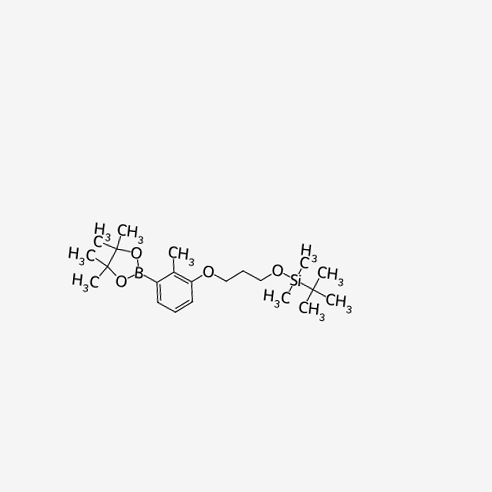 Cc1c(OCCCO[Si](C)(C)C(C)(C)C)cccc1B1OC(C)(C)C(C)(C)O1